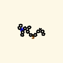 CC1(C)c2ccc(-c3ccc4sc5ccc(-c6ccc7c(c6)c6ccccc6c6ccc8c(c9cc%10ccccc%10cc9n8-c8cccc9ccccc89)c67)cc5c4c3)cc2-c2c1ccc1ccccc21